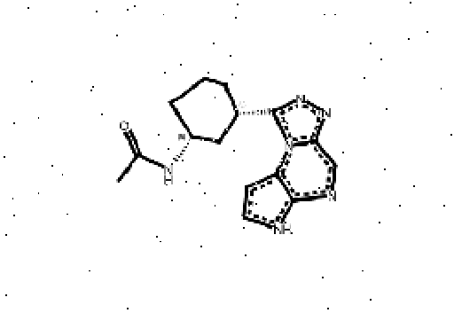 CC(=O)N[C@@H]1CCC[C@H](c2nnc3cnc4[nH]ccc4n23)C1